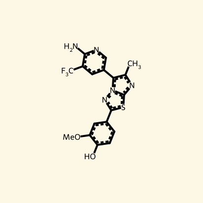 COc1cc(-c2nn3c(-c4cnc(N)c(C(F)(F)F)c4)c(C)nc3s2)ccc1O